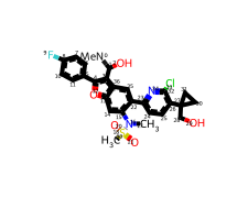 CNC(O)c1c(-c2ccc(F)cc2)oc2cc(N(C)S(C)(=O)=O)c(-c3ccc(C4(CO)CC4)c(Cl)n3)cc12